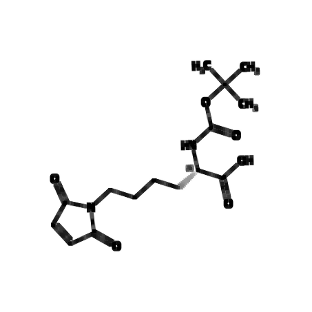 CC(C)(C)OC(=O)N[C@@H](CCCCN1C(=O)C=CC1=O)C(=O)O